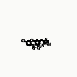 Nc1[nH]nnc1Cc1cc(Cl)c([S+]([O-])c2ccc(Cl)cc2)c(Cl)c1